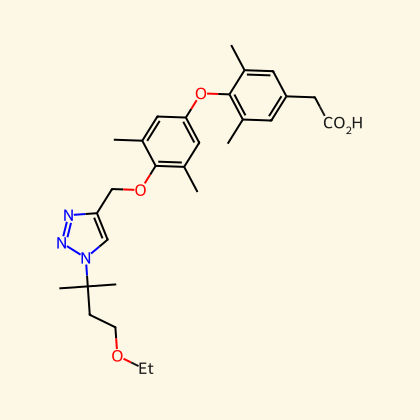 CCOCCC(C)(C)n1cc(COc2c(C)cc(Oc3c(C)cc(CC(=O)O)cc3C)cc2C)nn1